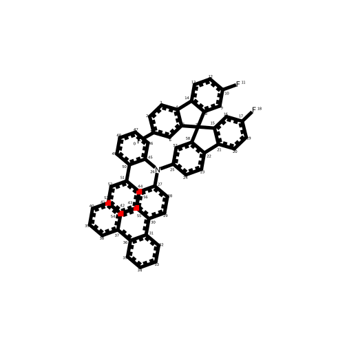 Fc1ccc2c(c1)C1(c3cc(F)ccc3-2)c2cc(F)ccc2-c2ccc(N(c3ccc4c5ccccc5c5ccccc5c4c3)c3ccccc3-c3ccccc3)cc21